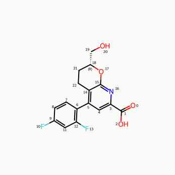 O=C(O)c1cc(-c2ccc(F)cc2F)c2c(n1)O[C@@H](CO)CC2